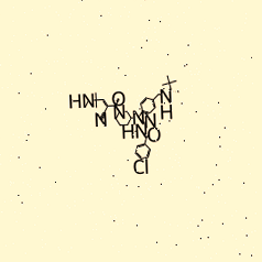 CNC(C)(C)C=C(C#N)C(=O)N1CCCC(n2c(NC(=O)c3ccc(Cl)cc3)nc3cc(CN[C@@H](C)C(C)(C)C)ccc32)C1